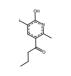 CCCC(=O)c1cc(I)c(O)nc1C